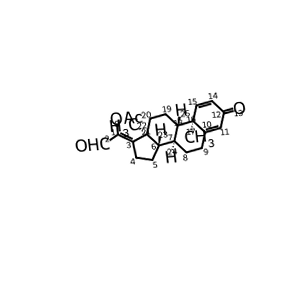 CC(=O)O/C(C=O)=C1/CC[C@H]2[C@@H]3CCC4=CC(=O)C=C[C@]4(C)[C@H]3CC[C@]12C